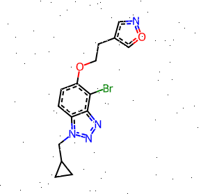 Brc1c(OCCc2cnoc2)ccc2c1nnn2CC1CC1